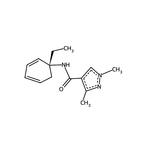 CC[C@]1(NC(=O)c2cn(C)nc2C)C=CC=CC1